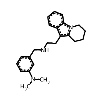 CN(C)c1cccc(CNCCc2c3n(c4ccccc24)CCCC3)c1